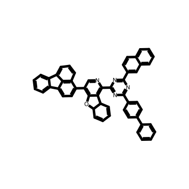 C1=CC2Oc3c(-c4ccc5c6c(cccc46)-c4ccccc4-5)cnc(-c4nc(-c5ccc(-c6ccccc6)cc5)nc(-c5ccc6ccccc6c5)n4)c3C2C=C1